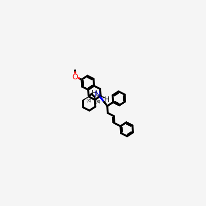 COc1ccc2c(c1)[C@@]13CCCC[C@H]1[C@@H](C2)N(C(CC=Cc1ccccc1)c1ccccc1)CC3